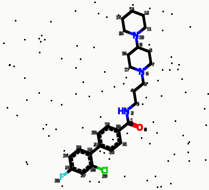 O=C(NCCCN1CCC(N2CCCCC2)CC1)c1ccc(-c2ccc(F)cc2Cl)cc1